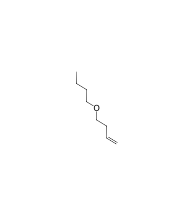 C=CCCOCCCC